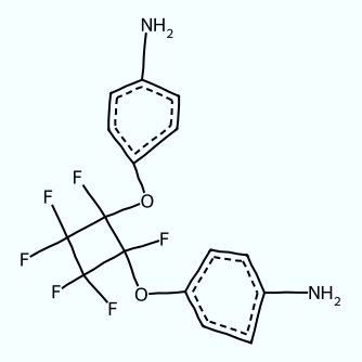 Nc1ccc(OC2(F)C(F)(F)C(F)(F)C2(F)Oc2ccc(N)cc2)cc1